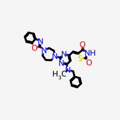 CN(Cc1ccccc1)c1cc(/C=C2\SC(=O)NC2=O)nc(N2CCCN(c3nc4ccccc4o3)CC2)n1